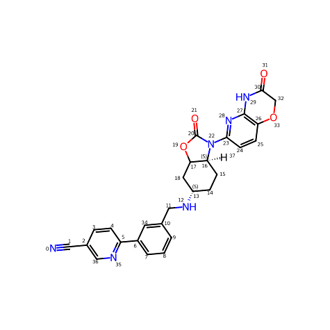 N#Cc1ccc(-c2cccc(CN[C@H]3CC[C@H]4C(C3)OC(=O)N4c3ccc4c(n3)NC(=O)CO4)c2)nc1